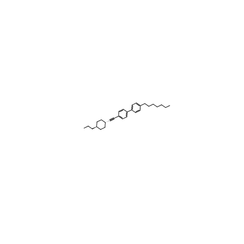 CCCCCCCc1ccc(-c2ccc(C#C[C@H]3CC[C@H](CCC)CC3)cc2)cc1